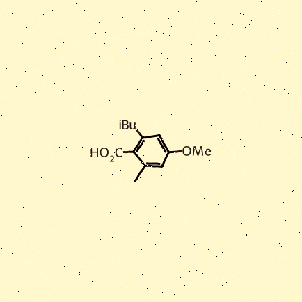 CCC(C)c1cc(OC)cc(C)c1C(=O)O